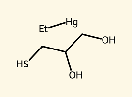 C[CH2][Hg].OCC(O)CS